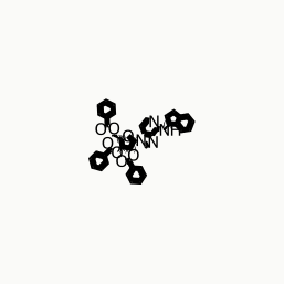 O=C(OC[C@H]1O[C@@H](n2cnc3c(N[C@H]4CCc5ccccc54)nccc32)[C@H](OC(=O)c2ccccc2)[C@@H]1OC(=O)c1ccccc1)c1ccccc1